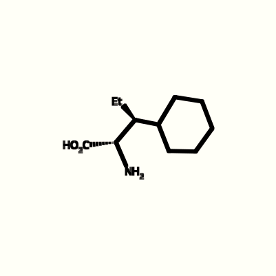 CC[C@@H](C1CCCCC1)[C@H](N)C(=O)O